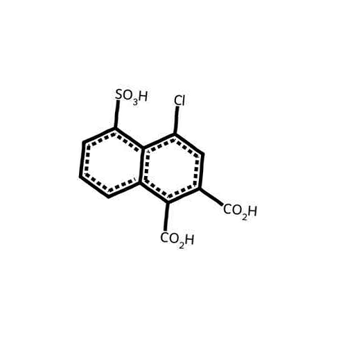 O=C(O)c1cc(Cl)c2c(S(=O)(=O)O)cccc2c1C(=O)O